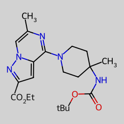 CCOC(=O)c1cc2c(N3CCC(C)(NC(=O)OC(C)(C)C)CC3)nc(C)cn2n1